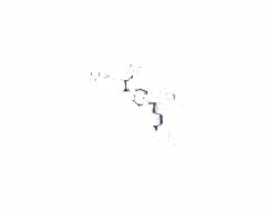 C=C(F)/C=C\C=C(/C)N1CCN(C(=O)C(CC(C)=O)OC)C[C@@H]1C